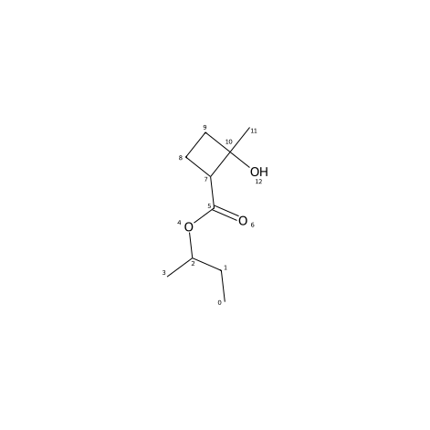 CCC(C)OC(=O)C1CCC1(C)O